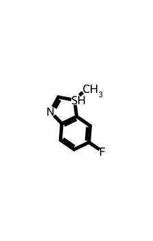 C[SH]1C=Nc2ccc(F)cc21